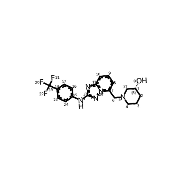 O[C@@H]1CCCN(Cc2cccc3nc(Nc4ccc(C(F)(F)F)cc4)nn23)C1